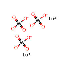 [Lu+3].[Lu+3].[O]=[W](=[O])([O-])[O-].[O]=[W](=[O])([O-])[O-].[O]=[W](=[O])([O-])[O-]